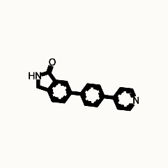 O=C1NCc2ccc(-c3ccc(-c4ccncc4)cc3)cc21